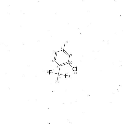 [CH2]C(F)(F)c1ccc(C)cc1Cl